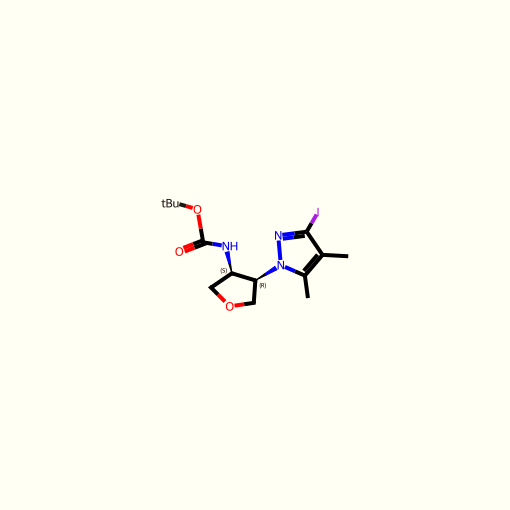 Cc1c(I)nn([C@H]2COC[C@H]2NC(=O)OC(C)(C)C)c1C